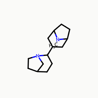 CN1C2CCC1CC([C]1CCC3CCN1C3)C2